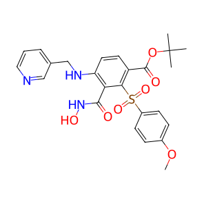 COc1ccc(S(=O)(=O)c2c(C(=O)OC(C)(C)C)ccc(NCc3cccnc3)c2C(=O)NO)cc1